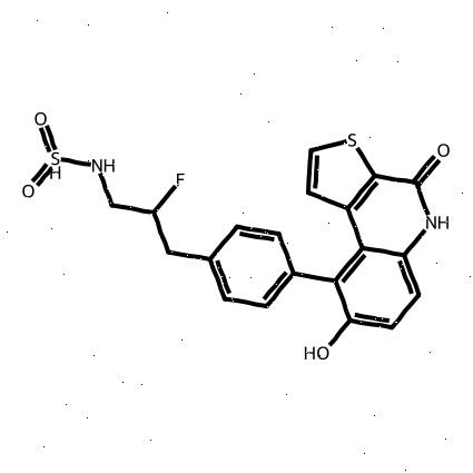 O=c1[nH]c2ccc(O)c(-c3ccc(CC(F)CN[SH](=O)=O)cc3)c2c2ccsc12